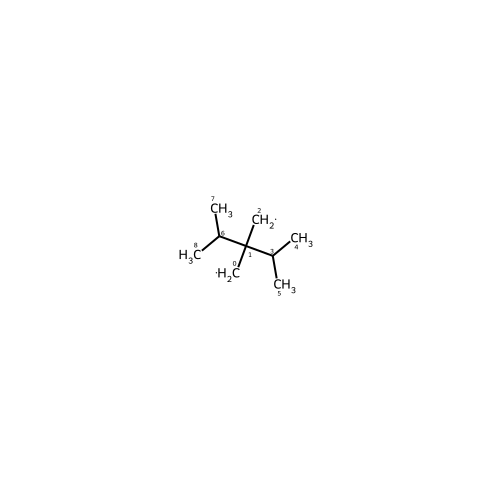 [CH2]C([CH2])(C(C)C)C(C)C